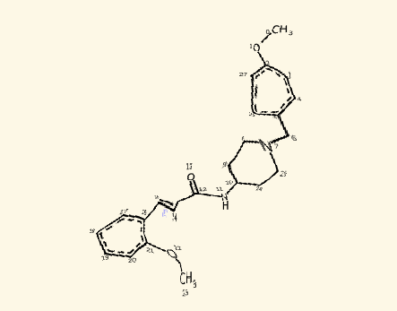 COc1ccc(CN2CCC(NC(=O)/C=C/c3ccccc3OC)CC2)cc1